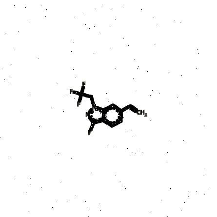 C=Cc1ccc2c(F)nn(CC(F)(F)F)c2c1